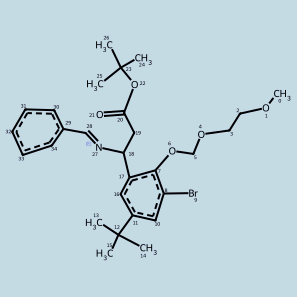 COCCOCOc1c(Br)cc(C(C)(C)C)cc1C(CC(=O)OC(C)(C)C)/N=C/c1ccccc1